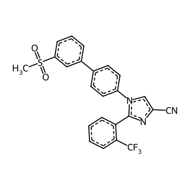 CS(=O)(=O)c1cccc(-c2ccc(-n3cc(C#N)nc3-c3ccccc3C(F)(F)F)cc2)c1